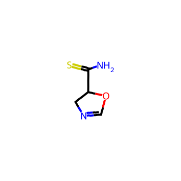 NC(=S)C1CN=CO1